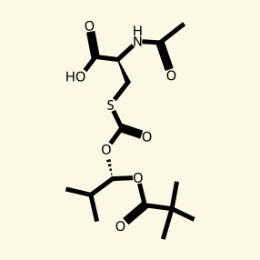 CC(=O)N[C@@H](CSC(=O)O[C@H](OC(=O)C(C)(C)C)C(C)C)C(=O)O